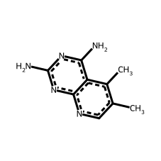 Cc1cnc2nc(N)nc(N)c2c1C